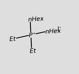 CCCCCC[P+](CC)(CC)CCCCCC.[I-]